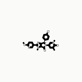 COc1ccc(-c2nc3c(n2C)C(=O)N(c2cc(C)c(=O)n(C)c2)[C@@H]3c2ccc(Cl)cc2)cn1